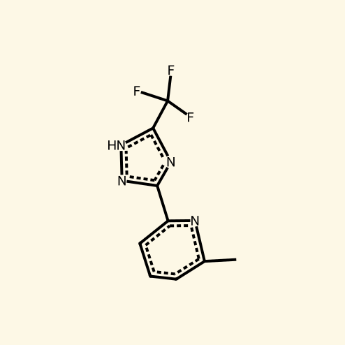 Cc1cccc(-c2n[nH]c(C(F)(F)F)n2)n1